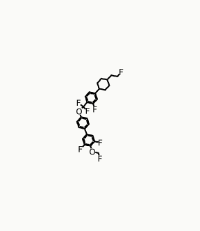 FCCC1CCC(c2ccc(C(F)(F)Oc3ccc(-c4cc(F)c(OCF)c(F)c4)cc3)c(F)c2)CC1